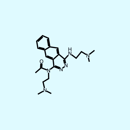 CC(=O)N(CCN(C)C)c1nnc(NCCN(C)C)c2cc3ccccc3cc12